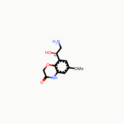 COc1cc2c(c([C@@H](O)CN)c1)OCC(=O)N2